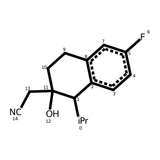 CC(C)C1c2ccc(F)cc2CCC1(O)CC#N